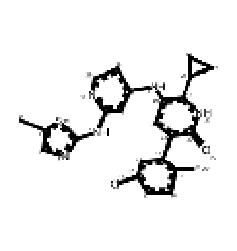 Cc1cnc(Nc2cc(Nc3cc(-c4cc(Cl)ccc4F)c(=O)[nH]c3C3CC3)ccn2)s1